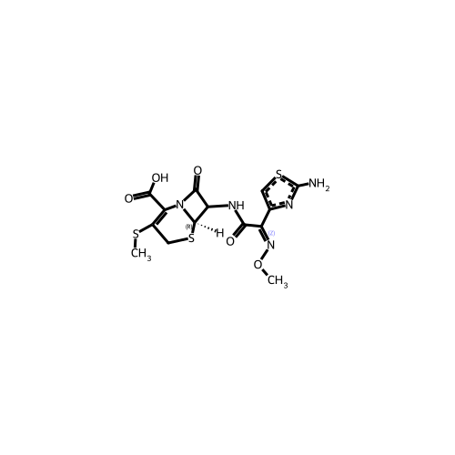 CO/N=C(\C(=O)NC1C(=O)N2C(C(=O)O)=C(SC)CS[C@H]12)c1csc(N)n1